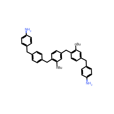 CCCCc1cc(Cc2ccc(N)cc2)ccc1Cc1ccc(Cc2ccc(Cc3ccc(N)cc3)cc2)c(CCCC)c1